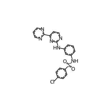 O=S(=O)(Nc1cccc(Nc2nccc(-c3ncccn3)n2)c1)c1ccc(Cl)cc1